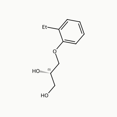 CCc1ccccc1OC[C@@H](O)CO